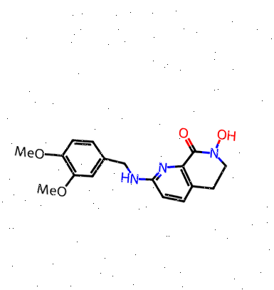 COc1ccc(CNc2ccc3c(n2)C(=O)N(O)CC3)cc1OC